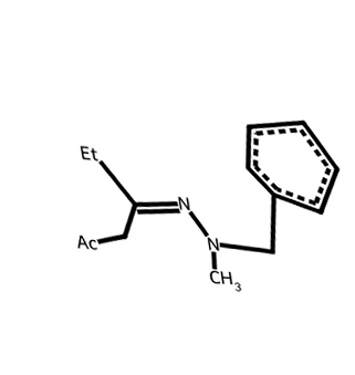 CCC(CC(C)=O)=NN(C)Cc1ccccc1